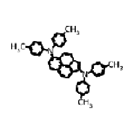 Cc1ccc(N(C2=CC3C=Cc4c(N(c5ccc(C)cc5)c5ccc(C)cc5)ccc5ccc2c3c45)c2ccc(C)cc2)cc1